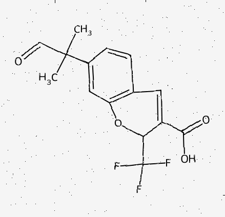 CC(C)(C=O)c1ccc2c(c1)OC(C(F)(F)F)C(C(=O)O)=C2